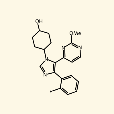 COc1nccc(-c2c(-c3ccccc3F)ncn2C2CCC(O)CC2)n1